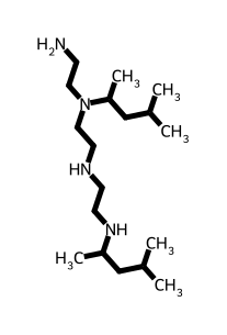 CC(C)CC(C)NCCNCCN(CCN)C(C)CC(C)C